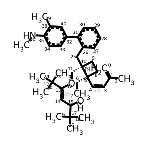 C=C(C)/C=C\[C@]1(CC)CC[C@]1(CO/C(=C\C(O)C(C)(C)C)C(C)(C)C)Cc1ccccc1-c1ccc(NC)c(C)c1